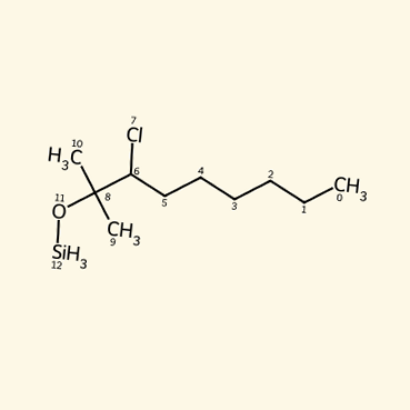 CCCCCCC(Cl)C(C)(C)O[SiH3]